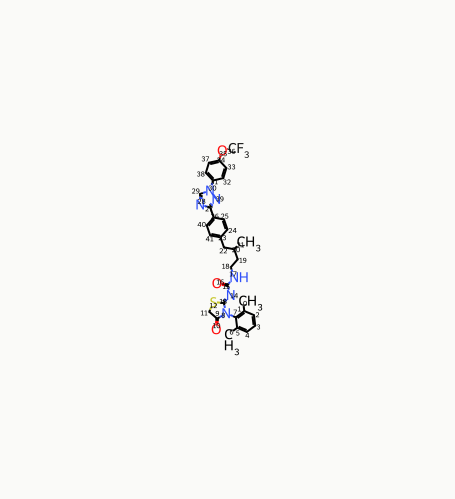 Cc1cccc(C)c1N1C(=O)CS/C1=N\C(=O)NCCC(C)Cc1ccc(-c2ncn(-c3ccc(OC(F)(F)F)cc3)n2)cc1